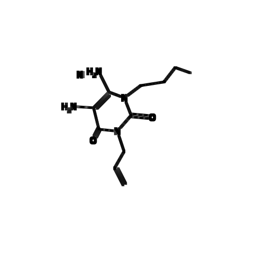 C=CCn1c(=O)c(N)c(N)n(CCCC)c1=O.[N]